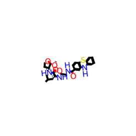 COC1OCC[C@@H]1NC(=O)[C@H](CC(C)C)NC(=O)CNC(=O)c1ccc2c(c1)Nc1ccccc1S2